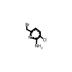 Nc1nc(CBr)ccc1Cl